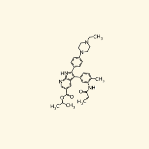 C=CC(=O)Nc1cc(-c2c(-c3ccc(N4CCN(CC)CC4)cc3)[nH]c3ncc(C(=O)OC(C)C)cc23)ccc1C